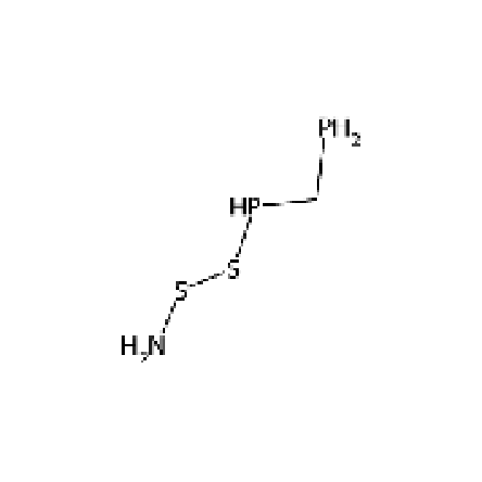 NSSPCP